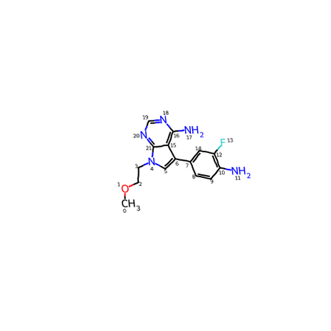 COCCn1cc(-c2ccc(N)c(F)c2)c2c(N)ncnc21